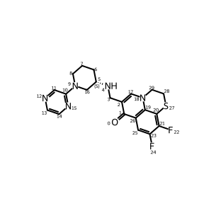 O=c1c(CN[C@H]2CCCN(c3cnccn3)C2)cn2c3c(c(F)c(F)cc13)SCC2